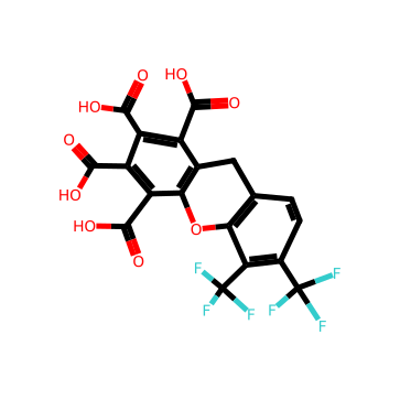 O=C(O)c1c2c(c(C(=O)O)c(C(=O)O)c1C(=O)O)Oc1c(ccc(C(F)(F)F)c1C(F)(F)F)C2